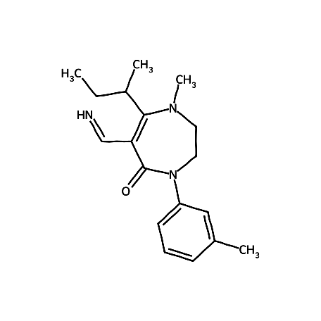 CCC(C)C1=C(C=N)C(=O)N(c2cccc(C)c2)CCN1C